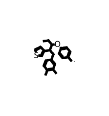 [CH2]c1ccc(OC(CC)C(Cc2ccc(C)c(C)c2)c2ccsc2)cc1